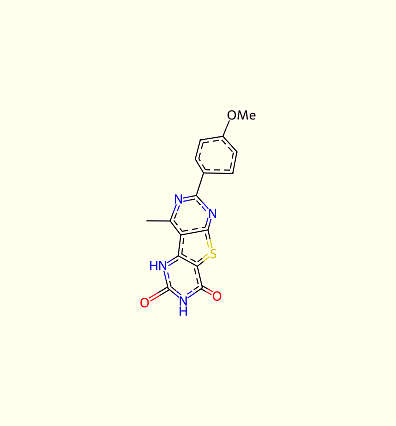 COc1ccc(-c2nc(C)c3c(n2)sc2c(=O)[nH]c(=O)[nH]c23)cc1